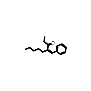 CCCCCC(=Cc1ccccc1)C(=O)CC